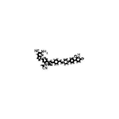 C[C@H](C#N)Nc1cc(-n2ncc3cc(C#N)c(N)nc32)ncc1-n1cc(C2CCC(CCN3CCN(c4ccc([C@H]5CCC(=O)NC5=O)cc4)CC3)CC2)nn1